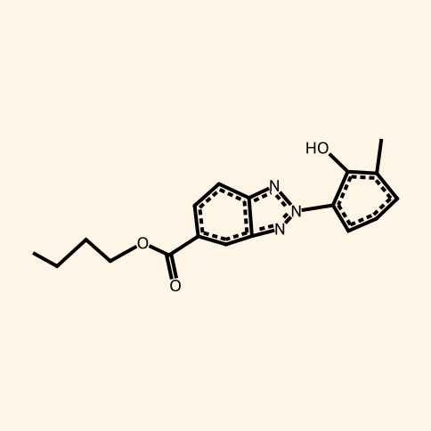 CCCCOC(=O)c1ccc2nn(-c3cccc(C)c3O)nc2c1